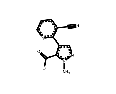 Cn1ncc(-c2ncccc2C#N)c1C(=O)O